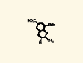 CCc1cc2cc(C(=O)O)cc(OC)c2nc1C